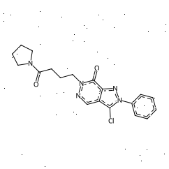 O=C(CCCn1ncc2c(Cl)n(-c3ccccc3)nc2c1=O)N1CCCC1